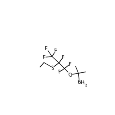 BC(C)(C)OC(F)(F)C(F)(SCC)C(F)(F)F